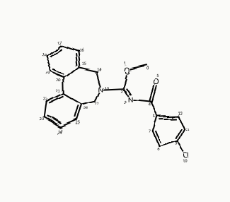 COC(=NC(=O)c1ccc(Cl)cc1)N1Cc2ccccc2-c2ccccc2C1